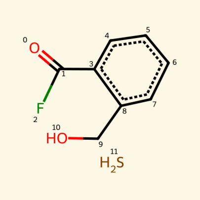 O=C(F)c1ccccc1CO.S